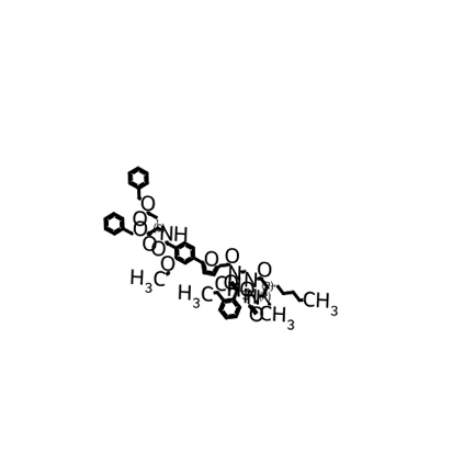 CCCCC[C@@H](C(=O)NCNC(=O)c1ccc(-c2ccc(C(=O)N[C@@H](CC(=O)OCc3ccccc3)C(=O)OCc3ccccc3)c(OCC)c2)o1)[C@@H](CC)N(C=O)OC(=O)c1ccccc1C(C)C